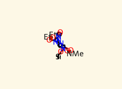 CC[C@H]1COCCN1c1cc(CS(=O)(=O)CC)nc(-c2ccc3c(cc(COC(=O)NC)n3COCC[Si](C)(C)C)n2)n1